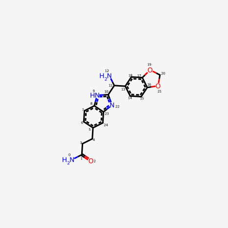 NC(=O)CCc1ccc2[nH]c(C(N)c3ccc4c(c3)OCO4)nc2c1